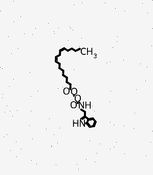 CCCCC/C=C\C/C=C\CCCCCCCC(=O)OCOC(=O)NCCc1c[nH]c2ccccc12